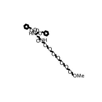 COCCOCCOCCOCCOCCOCCOCCOCCNC(=O)CC[C@H](NC(=O)OCc1ccccc1)C(=O)OCc1ccccc1